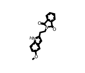 COc1ccc2[nH]c(CCN3C(=O)c4ccccc4C3=O)cc2c1